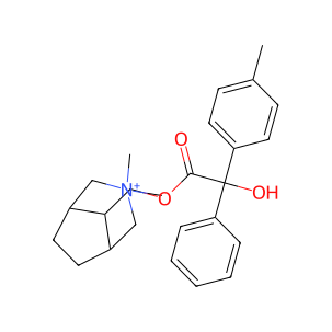 Cc1ccc(C(O)(C(=O)OCC2C3CCC2C[N+](C)(C)C3)c2ccccc2)cc1